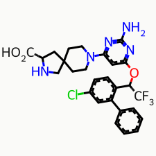 Nc1nc(OC(c2ccc(Cl)cc2-c2ccccc2)C(F)(F)F)cc(N2CCC3(CC2)CNC(C(=O)O)C3)n1